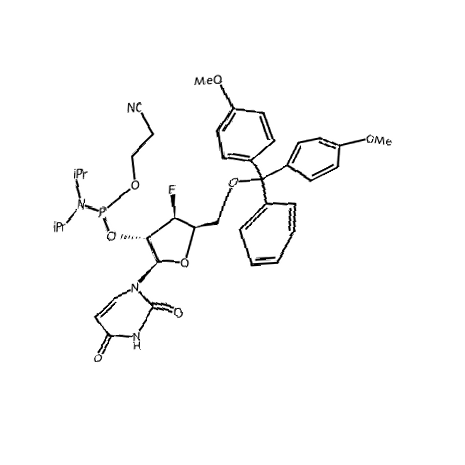 COc1ccc(C(OC[C@H]2O[C@@H](n3ccc(=O)[nH]c3=O)[C@H](OP(OCCC#N)N(C(C)C)C(C)C)[C@H]2F)(c2ccccc2)c2ccc(OC)cc2)cc1